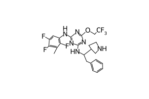 Cc1c(F)c(F)cc(Nc2nc(NC(Cc3ccccc3)C3CCNC3)nc(OCC(F)(F)F)n2)c1F